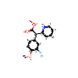 COC(=O)C(c1ccc(OC)c(F)c1)c1ccccn1